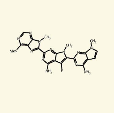 CSc1ncnc2c1nc(-c1nc(N)c3c(F)c(-c4nc(N)c5ccn(C)c5n4)n(C)c3n1)n2C